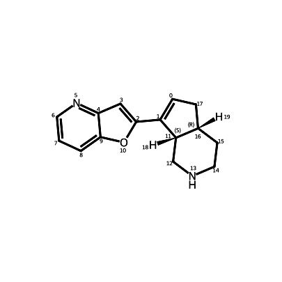 C1=C(c2cc3ncccc3o2)[C@H]2CNCC[C@H]2C1